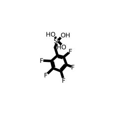 O[Si](O)(O)Cc1c(F)c(F)c(F)c(F)c1F